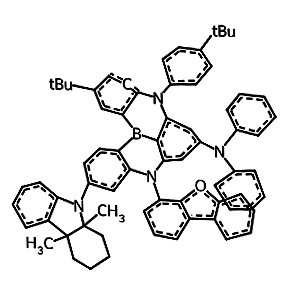 CC(C)(C)c1ccc(N2c3ccc(C(C)(C)C)cc3B3c4ccc(N5c6ccccc6C6(C)CCCCC56C)cc4N(c4cccc5c4oc4ccccc45)c4cc(N(c5ccccc5)c5ccccc5)cc2c43)cc1